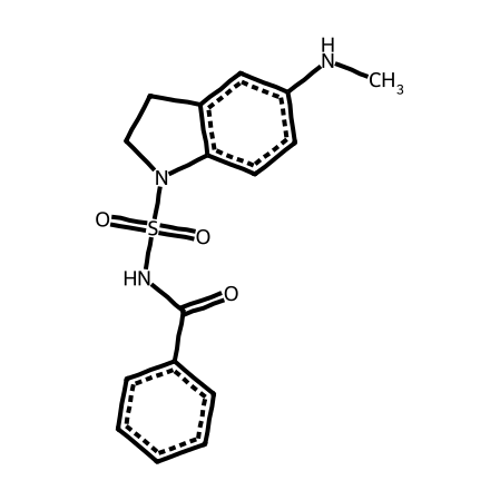 CNc1ccc2c(c1)CCN2S(=O)(=O)NC(=O)c1ccccc1